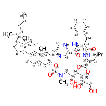 CC(C)CCC[C@@H](C)C1CCC2C3CC=C4C[C@@H](OC(=O)N(C)CC(O)C5OB([C@H](CC(C)C)NC(=O)[C@H](Cc6ccccc6)NC(=O)c6cnccn6)O[C@@H]5C(O)CO)CC[C@]4(C)C3CC[C@@]21C